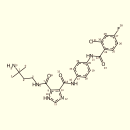 CC(C)(N)CCNC(=O)c1[nH]cnc1C(=O)Nc1ccc(NC(=O)c2ccc(F)cc2Cl)cc1